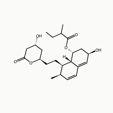 CCC(C)C(=O)O[C@@H]1C[C@@H](O)C=C2C=C[C@@H](C)[C@@H](CC[C@@H]3C[C@@H](O)CC(=O)O3)[C@@H]21